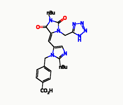 CCCCc1ncc(C=C2C(=O)N(CCCC)C(=O)N2Cc2nnn[nH]2)n1Cc1ccc(C(=O)O)cc1